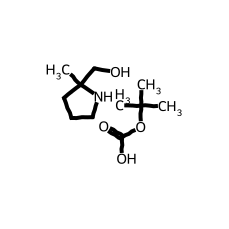 CC(C)(C)OC(=O)O.CC1(CO)CCCN1